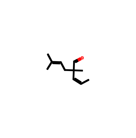 C/C=C\C(C)(C=O)CC=C(C)C